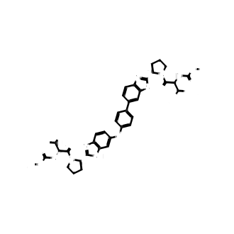 COC(=O)NC(C(=O)N1CCC[C@H]1c1nc2ccc(-c3ccc(Oc4ccc5nc([C@@H]6CCCN6C(=O)[C@@H](NC(=O)OC)C(C)C)[nH]c5c4)cc3)cc2[nH]1)C(C)C